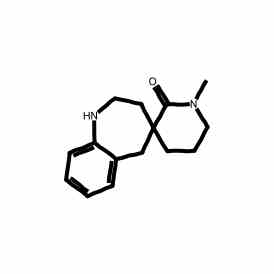 CN1CCCC2(CCNc3ccccc3C2)C1=O